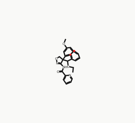 CCOC(c1ccccc1)C1(c2cccc(OC)c2)CON=C1NC(=O)c1ccccn1